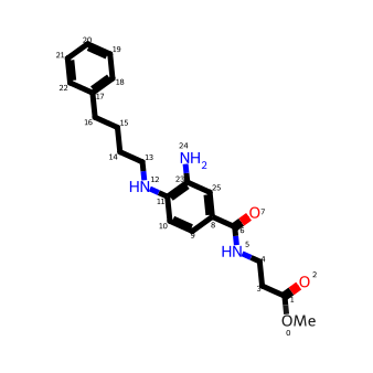 COC(=O)CCNC(=O)c1ccc(NCCCCc2ccccc2)c(N)c1